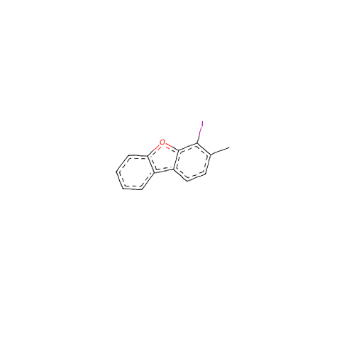 Cc1ccc2c(oc3ccccc32)c1I